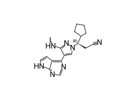 N#CC[C@H](C1CCCC1)n1cc(-c2ncnc3[nH]ccc23)c(NI)n1